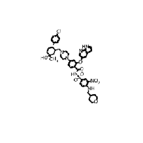 CC1(O)CC[C@H](c2ccc(Cl)cc2)[C@@H](CN2CCN(c3ccc(C(=O)NS(=O)(=O)c4ccc(NCC5CCOCC5)c([N+](=O)[O-])c4)c(Oc4cnc5[nH]ccc5c4)c3)CC2)C1